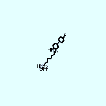 O=C(CCCCCCc1nc2cc(-c3ccc(F)cc3)ccc2[nH]1)NO